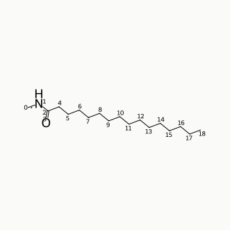 [CH2]NC(=O)CCCCCCCCCCCCCCC